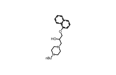 CCCCN1CCN(CC(O)COc2cccc3ccccc23)CC1